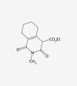 CCOC(=O)C1C(=O)N(C)C(=O)C2=C1CCCC2